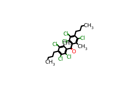 CCCCc1c(Cl)c(C)c(C(=O)c2c(C)c(Cl)c(CCCC)c(Cl)c2Cl)c(Cl)c1Cl